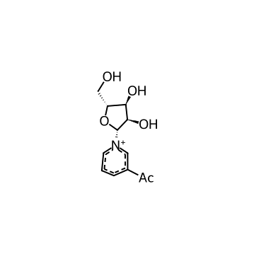 CC(=O)c1ccc[n+]([C@@H]2O[C@H](CO)[C@@H](O)[C@H]2O)c1